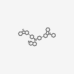 c1ccc(-n2c3ccccc3c3cc(-c4ccc(N(c5ccc(-c6ccc7sc8ccccc8c7c6)cc5)c5cccc6ccncc56)cc4)ccc32)cc1